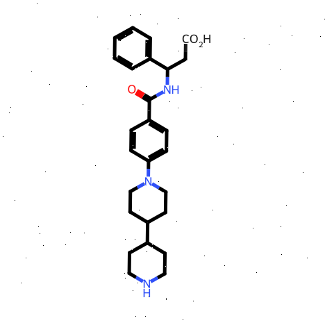 O=C(O)CC(NC(=O)c1ccc(N2CCC(C3CCNCC3)CC2)cc1)c1ccccc1